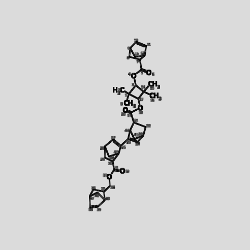 CC1(C)C(OC(=O)C2CC3C=CC2C3)C(C)(C)C1OC(=O)C1CC2C=C(C3=CC4CC(C(=O)OCC5CC6C=CC5C6)C3C4)C1C2